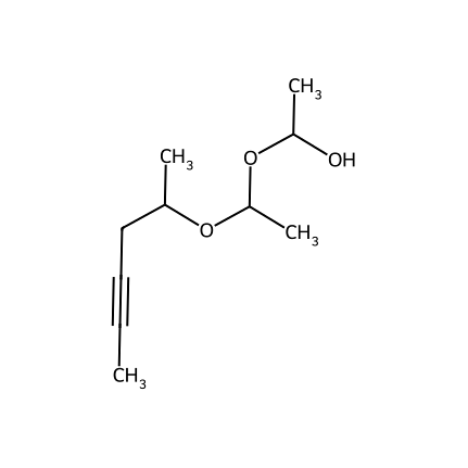 CC#CCC(C)OC(C)OC(C)O